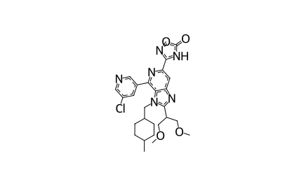 COCC(COC)c1nc2cc(-c3noc(=O)[nH]3)nc(-c3cncc(Cl)c3)c2n1CC1CCC(C)CC1